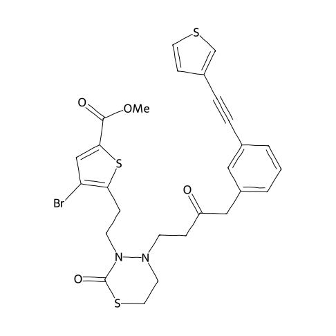 COC(=O)c1cc(Br)c(CCN2C(=O)SCCN2CCC(=O)Cc2cccc(C#Cc3ccsc3)c2)s1